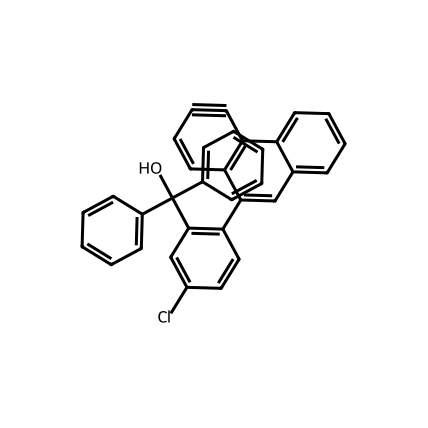 OC(c1ccccc1)(c1ccccc1)c1cc(Cl)ccc1-c1cc2ccccc2c2c#cccc12